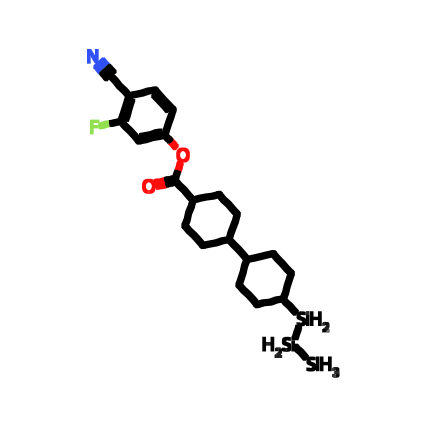 N#Cc1ccc(OC(=O)C2CCC(C3CCC([SiH2][SiH2][SiH3])CC3)CC2)cc1F